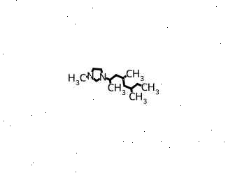 CCC(C)CC(C)CC(C)N1CCN(C)C1